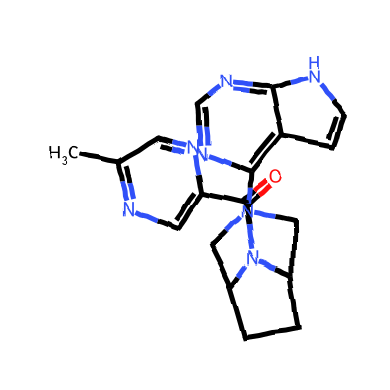 Cc1cnc(C(=O)N2C3CCC2CN(c2ncnc4[nH]ccc24)C3)cn1